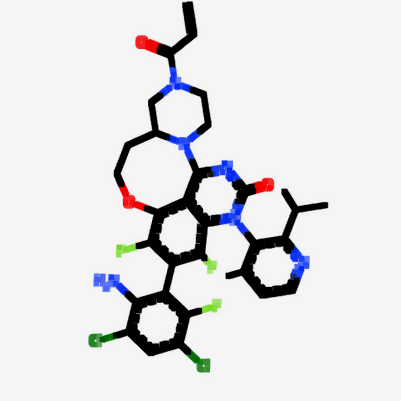 C=CC(=O)N1CCN2c3nc(=O)n(-c4c(C)ccnc4C(C)C)c4c(F)c(-c5c(N)c(Cl)cc(Cl)c5F)c(F)c(c34)OCCC2C1